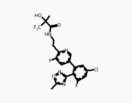 Cc1nc(-c2c(F)cc(Cl)cc2-c2cnc(CCNC(=O)C(C)(O)C(F)(F)F)c(F)c2)no1